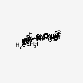 Cc1c(S(=O)(=O)NCCNC(=O)Cn2cc3cc(NC(=O)c4cccc(C(F)(F)F)n4)ccc3n2)cnn1C